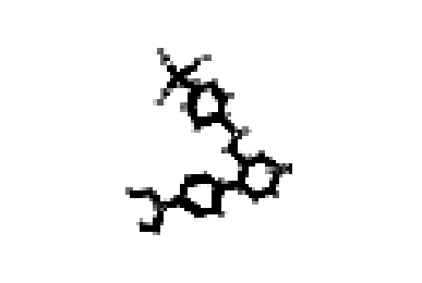 CCN(CC)c1ccc(C2CCNCC2COc2ccc(C(F)(F)F)cc2)cc1